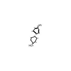 CCCc1ccc([C@H]2CC[C@H](O)CC2)cc1